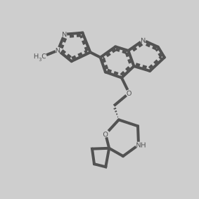 Cn1cc(-c2cc(OC[C@@H]3CNCC4(CCC4)O3)c3cccnc3c2)cn1